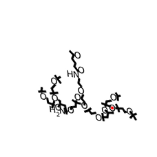 CC(=O)CCCC(=O)NCCCOCC(COC(C)(C)CCOC(C)(C)CC(COC(C)(C)CCOC(C)(C)C)OC(C)(C)CCOC(C)(C)C)OC(C)(C)CCOC(C)(N)CC(COC(C)(C)CCOC(C)(C)C)OC(C)(C)CCOC(C)(C)C